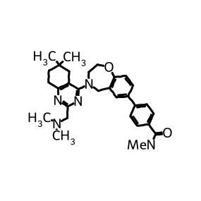 CNC(=O)c1ccc(-c2ccc3c(c2)CN(c2nc(CN(C)C)nc4c2CC(C)(C)CC4)CCO3)cc1